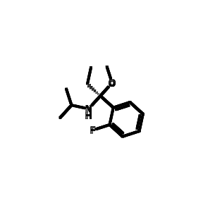 CC[C@](NC(C)C)(OC)c1ccccc1F